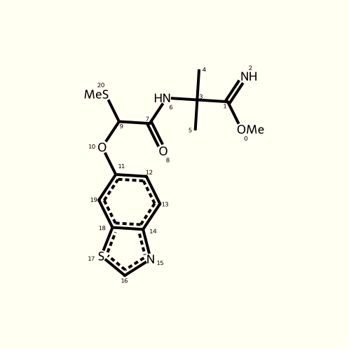 COC(=N)C(C)(C)NC(=O)C(Oc1ccc2ncsc2c1)SC